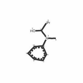 CC(C)C(O)N(C)c1ccccc1